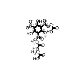 CC(=O)O.CC(=O)O.CC(=O)O.O=[N+]([O-])c1c(O)c([N+](=O)[O-])c(O)c([N+](=O)[O-])c1O